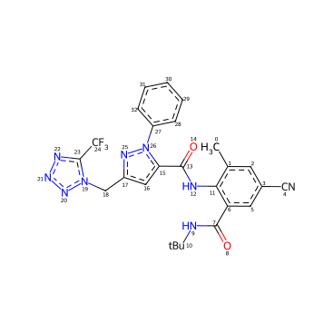 Cc1cc(C#N)cc(C(=O)NC(C)(C)C)c1NC(=O)c1cc(Cn2nnnc2C(F)(F)F)nn1-c1ccccc1